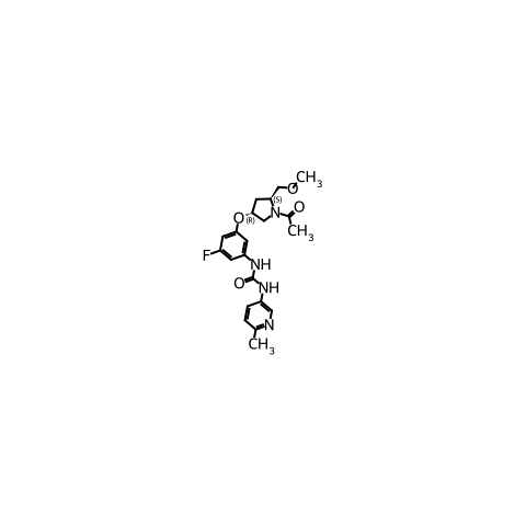 COC[C@@H]1C[C@@H](Oc2cc(F)cc(NC(=O)Nc3ccc(C)nc3)c2)CN1C(C)=O